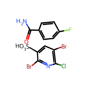 NC(=O)c1ccc(F)cc1.O=S(=O)(O)c1cc(Br)c(Cl)nc1Br